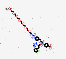 COCCOCCOCCOCCOCCOCCOCCNC(=O)Nc1ccc(C[C@H](NC(=O)/C=C/c2c(-n3cnnn3)ccc(Cl)c2F)C(=O)Nc2ccc(C(=O)O)cc2)cc1